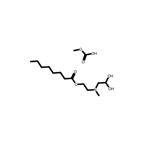 CCCCCCCC(=O)OCCN(C)CC(O)O.COC(=O)O